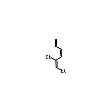 C=C/C=C\C(=C/CC)CC